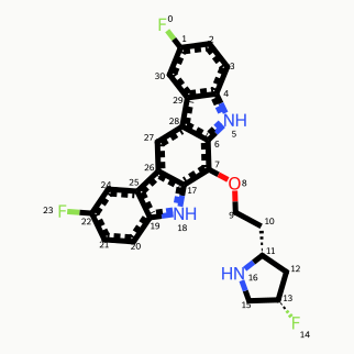 Fc1ccc2[nH]c3c(OCC[C@@H]4C[C@H](F)CN4)c4[nH]c5ccc(F)cc5c4cc3c2c1